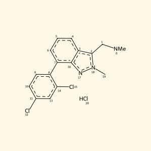 CNCc1c2cccc(-c3ccc(Cl)cc3Cl)c2nn1C.Cl